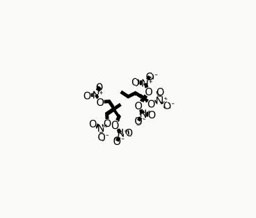 CC(CO[N+](=O)[O-])(CO[N+](=O)[O-])CO[N+](=O)[O-].CCCC(O[N+](=O)[O-])(O[N+](=O)[O-])O[N+](=O)[O-]